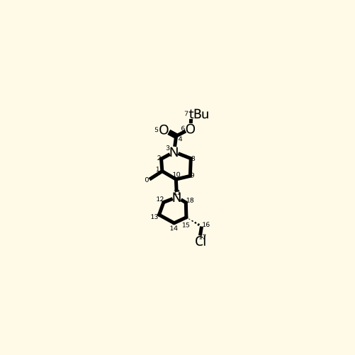 CC1CN(C(=O)OC(C)(C)C)CCC1N1CCC[C@@H](CCl)C1